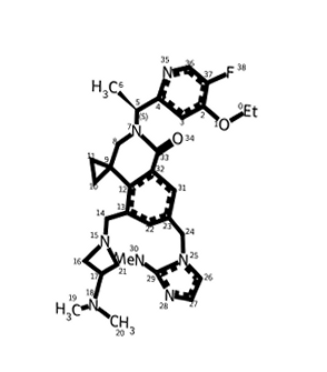 CCOc1cc([C@H](C)N2CC3(CC3)c3c(CN4CC(N(C)C)C4)cc(Cn4ccnc4NC)cc3C2=O)ncc1F